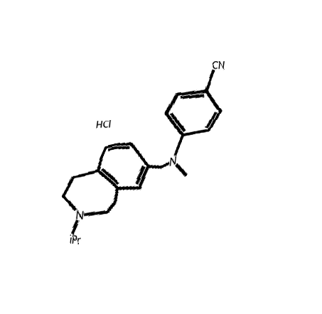 CC(C)N1CCc2ccc(N(C)c3ccc(C#N)cc3)cc2C1.Cl